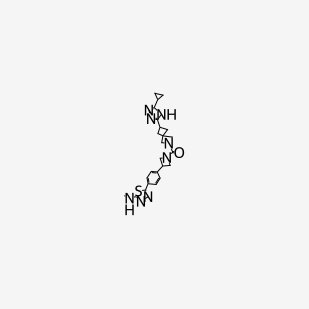 CNc1nnc(-c2ccc(C3CN(C(=O)N4CC5(CC(c6nnc(C7CC7)[nH]6)C5)C4)C3)cc2)s1